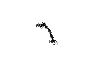 O=C(O)NCCOCCOCCOCCOCC#Cc1ccc([C@H]2CN(C3CCC(=O)NC3=O)C(=O)O2)cc1